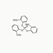 O=Cc1ccccc1OP(=O)(Oc1ccccc1C=O)Oc1ccccc1C=O